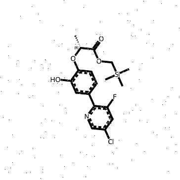 C[C@@H](Oc1ccc(-c2ncc(Cl)cc2F)cc1O)C(=O)OC[Si](C)(C)C